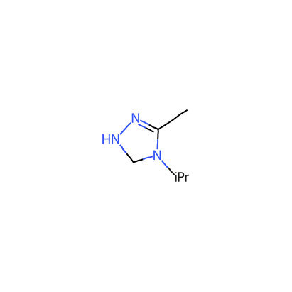 CC1=NNCN1C(C)C